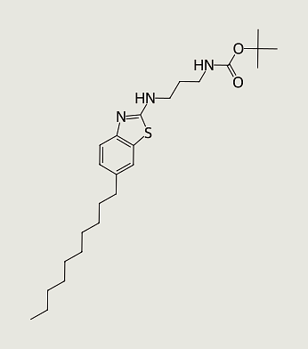 CCCCCCCCCCc1ccc2nc(NCCCNC(=O)OC(C)(C)C)sc2c1